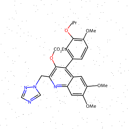 CCOC(=O)Oc1c(Cn2cncn2)nc2cc(OC)c(OC)cc2c1-c1ccc(OC)c(OC(C)C)c1